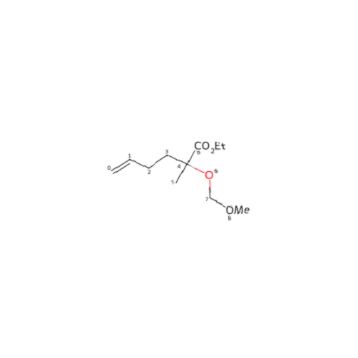 C=CCCC(C)(OCOC)C(=O)OCC